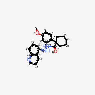 COc1ccc(C2(C(=O)NNc3cccc4ncccc34)CCCCC2)cc1